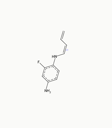 C=C/C=C\Nc1ccc(N)cc1F